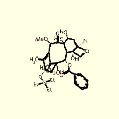 CC[Si](CC)(CC)O[C@H]1C[C@@]2(O)[C@@H](OC(=O)c3ccccc3)C3[C@]4(O)CO[C@@H]4C[C@H](O)[C@@]3(C)C(=O)[C@H](OC)C(=C1C)C2(C)C